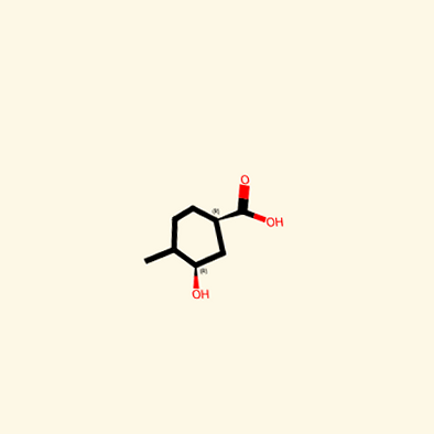 CC1CC[C@@H](C(=O)O)C[C@H]1O